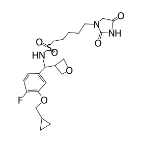 O=C1CN(CCCCCS(=O)(=O)NC(c2ccc(F)c(OCC3CC3)c2)C2COC2)C(=O)N1